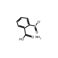 N.O=C(O)c1ccccc1[N+](=O)[O-]